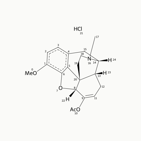 COc1ccc2c3c1O[C@H]1C(OC(C)=O)=CC[C@H]4[C@@H](C2)N(C)CC[C@]314.Cl